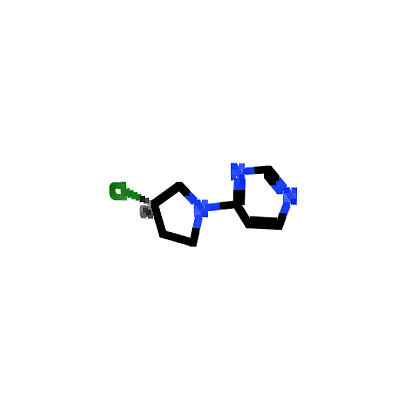 Cl[C@H]1CCN(c2ccncn2)C1